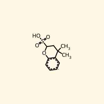 CC1(C)CC(S(=O)(=O)O)Oc2cc[c]cc21